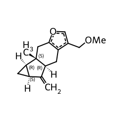 C=C1[C@H]2C[C@H]2[C@]2(C)Cc3occ(COC)c3C[C@@H]12